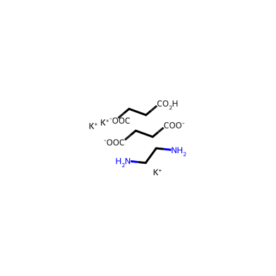 NCCN.O=C([O-])CCC(=O)O.O=C([O-])CCC(=O)[O-].[K+].[K+].[K+]